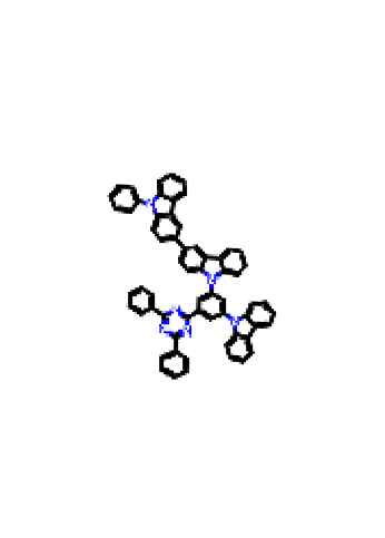 c1ccc(-c2nc(-c3ccccc3)nc(-c3cc(-n4c5ccccc5c5ccccc54)cc(-n4c5ccccc5c5cc(-c6ccc7c(c6)c6ccccc6n7-c6ccccc6)ccc54)c3)n2)cc1